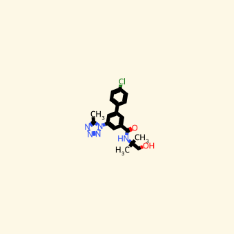 Cc1nnnn1-c1cc(C(=O)NC(C)(C)CO)cc(-c2ccc(Cl)cc2)c1